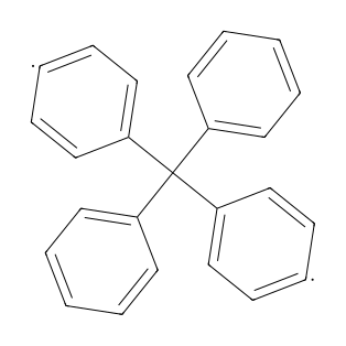 [c]1ccc(C(c2cc[c]cc2)(c2ccccc2)c2ccccc2)cc1